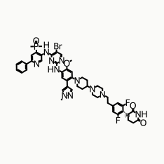 COc1cc(N2CCC(N3CCN(CCc4cc(F)c([C@H]5CCC(=O)NC5=O)c(F)c4)CC3)CC2)c(-c2cnn(C)c2)cc1Nc1ncc(Br)c(Nc2cnc(-c3ccccc3)cc2P(C)(C)=O)n1